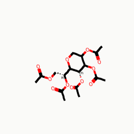 CC(=O)OC[C@@H](OC(C)=O)C1OCC(OC(C)=O)C(OC(C)=O)[C@@H]1OC(C)=O